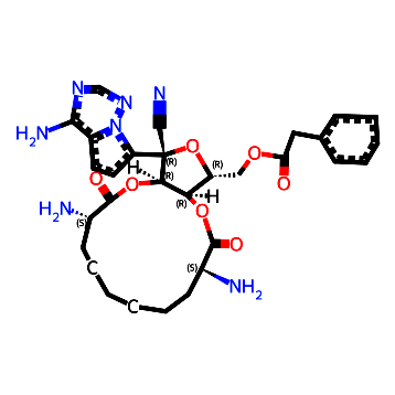 N#C[C@@]1(c2ccc3c(N)ncnn23)O[C@H](COC(=O)Cc2ccccc2)[C@H]2OC(=O)[C@@H](N)CCCCCC[C@H](N)C(=O)O[C@H]21